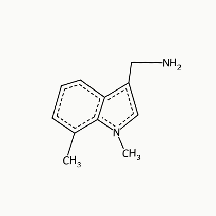 Cc1cccc2c(CN)cn(C)c12